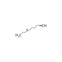 C#CCCCCSCCC